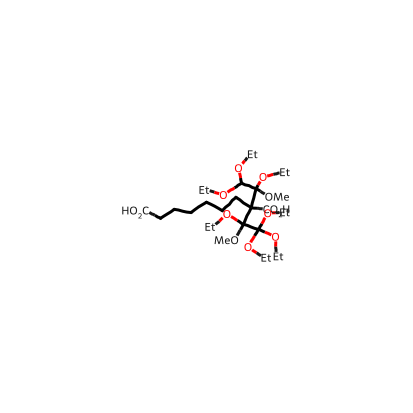 CCOC(OCC)C(OC)(OCC)C(CCCCCCC(=O)O)(C(=O)O)C(OC)(OCC)C(OCC)(OCC)OCC